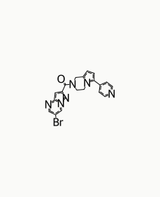 O=C(c1cc2ncc(Br)cn2n1)N1CCn2c(ccc2-c2ccncc2)C1